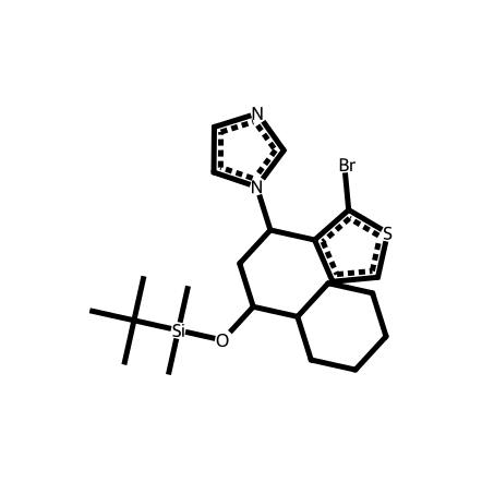 CC(C)(C)[Si](C)(C)OC(CC(c1ccsc1Br)n1ccnc1)C1CCCCC1